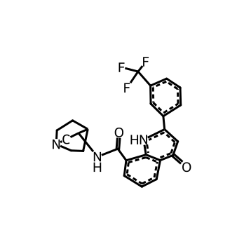 O=C(NC1CN2CCC1CC2)c1cccc2c(=O)cc(-c3cccc(C(F)(F)F)c3)[nH]c12